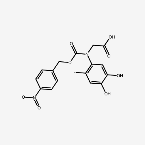 O=C(O)CN(C(=O)OCc1ccc([N+](=O)[O-])cc1)c1cc(O)c(O)cc1F